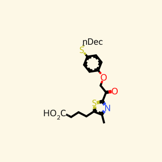 CCCCCCCCCCSc1ccc(OCC(=O)c2nc(C)c(CCCC(=O)O)s2)cc1